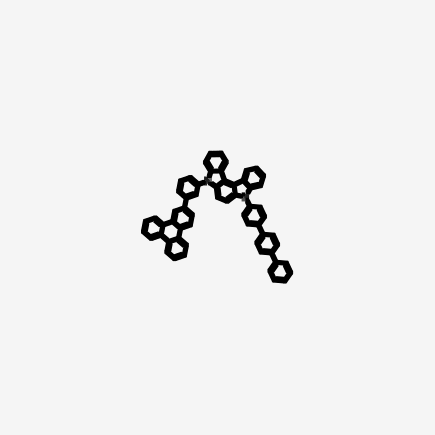 c1ccc(-c2ccc(-c3ccc(-n4c5ccccc5c5c6c7ccccc7n(-c7cccc(-c8ccc9c%10ccccc%10c%10ccccc%10c9c8)c7)c6ccc54)cc3)cc2)cc1